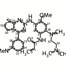 C=CC(=O)Nc1cc(Nc2nc(-c3cccc(NC)c3)c3ccsc3n2)c(OC)cc1N(C)CCN(C)C